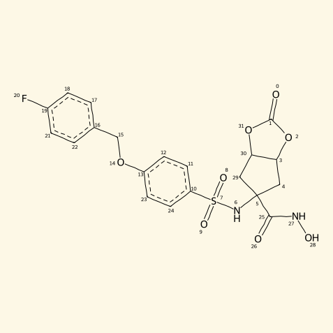 O=C1OC2CC(NS(=O)(=O)c3ccc(OCc4ccc(F)cc4)cc3)(C(=O)NO)CC2O1